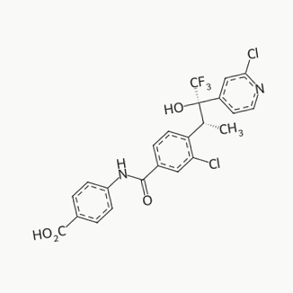 C[C@H](c1ccc(C(=O)Nc2ccc(C(=O)O)cc2)cc1Cl)[C@@](O)(c1ccnc(Cl)c1)C(F)(F)F